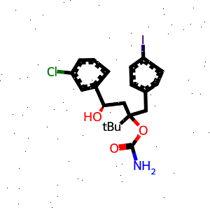 CC(C)(C)C(Cc1ccc(I)cc1)(C[C@@H](O)c1cccc(Cl)c1)OC(N)=O